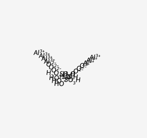 O.O.O.O=S(=O)(O)O.O=S(=O)(O)O.O=S(=O)(O)O.[Al+3].[Al+3].[Al+3].[Al+3].[Al+3].[Al+3].[Al+3].[O-2].[O-2].[O-2].[O-2].[O-2].[O-2]